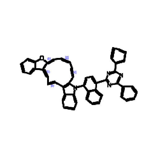 C1=C\C=c2\oc3ccccc3\c2=C/C=C/c2c(n(-c3ccc(-c4nc(-c5ccccc5)nc(-c5ccccc5)n4)c4ccccc34)c3ccccc23)\C=C/1